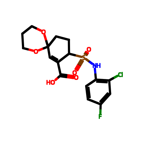 O=C(O)C1=CC2(CCC1S(=O)(=O)Nc1ccc(F)cc1Cl)OCCCO2